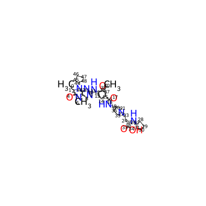 CC[C@@H]1C(=O)N(C)c2cnc(Nc3ccc(C(=O)NC4C5CN(CC[C@H](NC6CCCC6)C(=O)O)CC54)cc3OC)nc2N1C1CCCC1